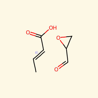 C/C=C/C(=O)O.O=CC1CO1